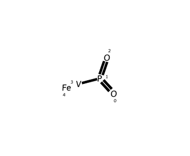 O=[P](=O)[V].[Fe]